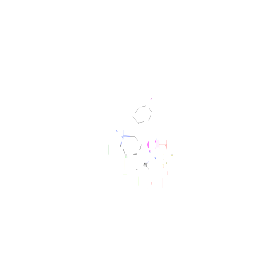 CC(C)(C)[S@@+]([O-])N[C@@](CO)(c1cc(Cl)nc(-c2ccc(I)cc2)c1O)C(F)(F)F